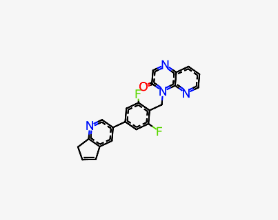 O=c1cnc2cccnc2n1Cc1c(F)cc(-c2cnc3c(c2)C=CC3)cc1F